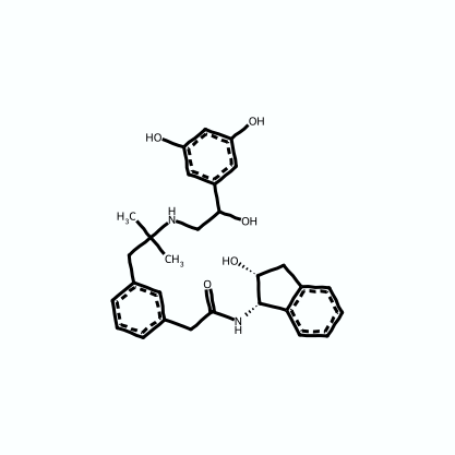 CC(C)(Cc1cccc(CC(=O)N[C@H]2c3ccccc3C[C@H]2O)c1)NCC(O)c1cc(O)cc(O)c1